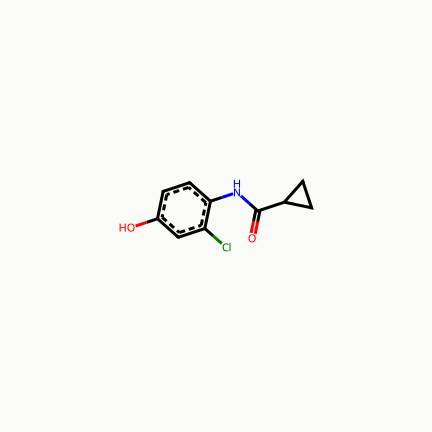 O=C(Nc1ccc(O)cc1Cl)C1CC1